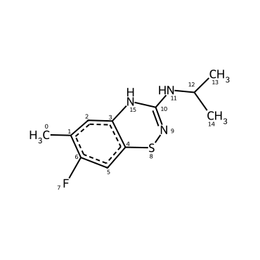 Cc1cc2c(cc1F)SN=C(NC(C)C)N2